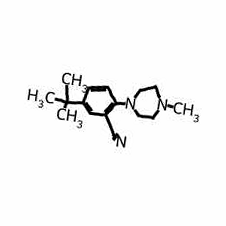 CN1CCN(c2ccc(C(C)(C)C)cc2C#N)CC1